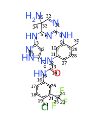 Cc1cc(NC2N=C(Nc3cc(NC(=O)Nc4ccc(Cl)c(C(F)(F)F)c4)ccc3C)N=CC2(C)N)n[nH]1